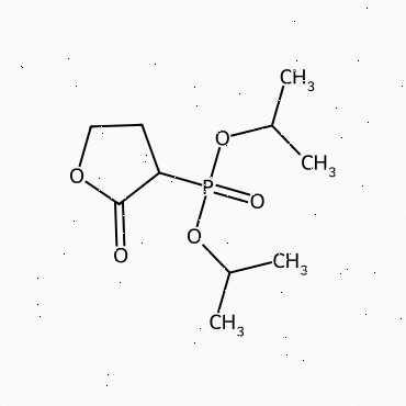 CC(C)OP(=O)(OC(C)C)C1CCOC1=O